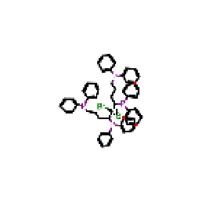 [Br][Ni]([Br])([CH](CCCP(c1ccccc1)c1ccccc1)P(c1ccccc1)c1ccccc1)[CH](CCCP(c1ccccc1)c1ccccc1)P(c1ccccc1)c1ccccc1